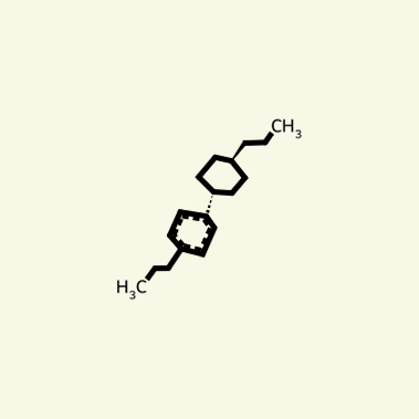 CCCc1ccc([C@H]2CC[C@H](CCC)CC2)cc1